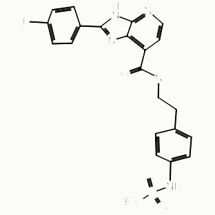 O=C(NCCc1ccc(NS(=O)(=O)C(F)(F)F)cc1)c1ccnc2[nH]c(-c3ccc(F)cc3)nc12